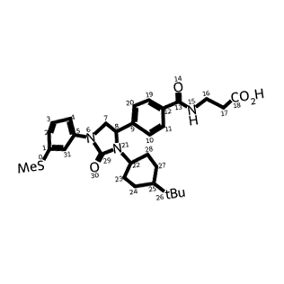 CSc1cccc(N2CC(c3ccc(C(=O)NCCC(=O)O)cc3)N(C3CCC(C(C)(C)C)CC3)C2=O)c1